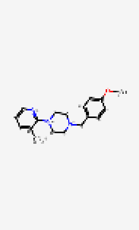 CCCCOc1ccc(CN2CCN(c3ncccc3C(=O)O)CC2)cc1